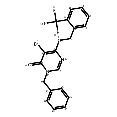 O=c1c(Br)c(OCc2ccccc2C(F)(F)F)ncn1Cc1ccccc1